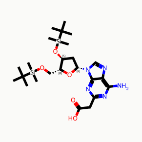 CC(C)(C)[Si](C)(C)OC[C@H]1O[C@@H](n2cnc3c(N)nc(CC(=O)O)nc32)C[C@@H]1O[Si](C)(C)C(C)(C)C